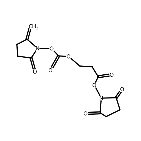 C=C1CCC(=O)N1OC(=O)OCCC(=O)ON1C(=O)CCC1=O